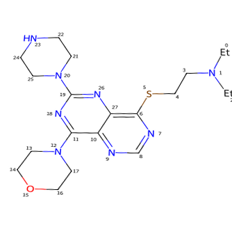 CCN(CC)CCSc1ncnc2c(N3CCOCC3)nc(N3CCNCC3)nc12